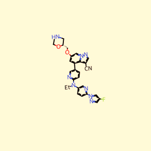 CCN(c1ccc(-n2cc(F)cn2)nc1)c1ccc(-c2cc(OC[C@H]3CNCCO3)cn3ncc(C#N)c23)cn1